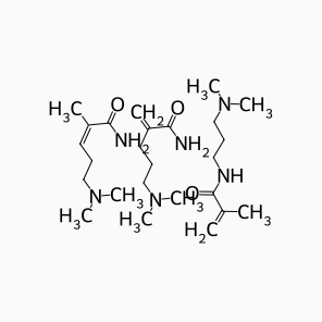 C=C(C)C(=O)NCCCN(C)C.C=C(CCCN(C)C)C(N)=O.CC(=CCCN(C)C)C(N)=O